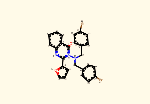 O=c1c2ccccc2nc(-c2ccco2)n1N(Cc1ccc(Br)cc1)Cc1ccc(Br)cc1